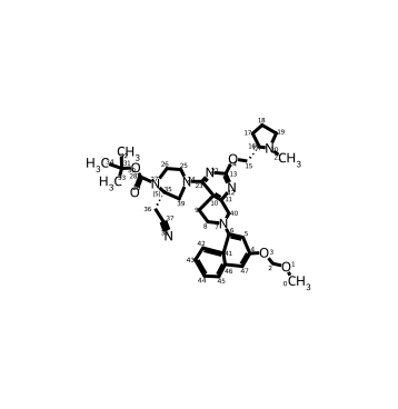 COCOc1cc(N2CCc3c(nc(OC[C@@H]4CCCN4C)nc3N3CCN(C(=O)OC(C)(C)C)[C@@H](CC#N)C3)C2)c2ccccc2c1